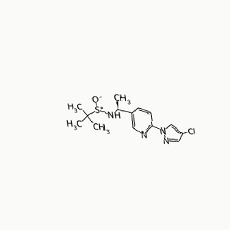 C[C@H](N[S+]([O-])C(C)(C)C)c1ccc(-n2cc(Cl)cn2)nc1